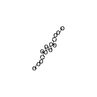 O=C(OC1COC2C(OC(=O)c3ccc(OCOCC4CO4)cc3)COC12)c1ccc(OCOCC2CO2)cc1